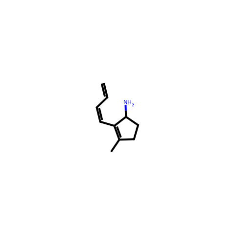 C=C/C=C\C1=C(C)CCC1N